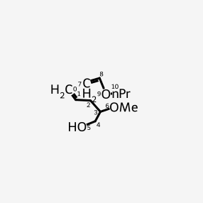 C=CCC(CO)OC.C=COCCC